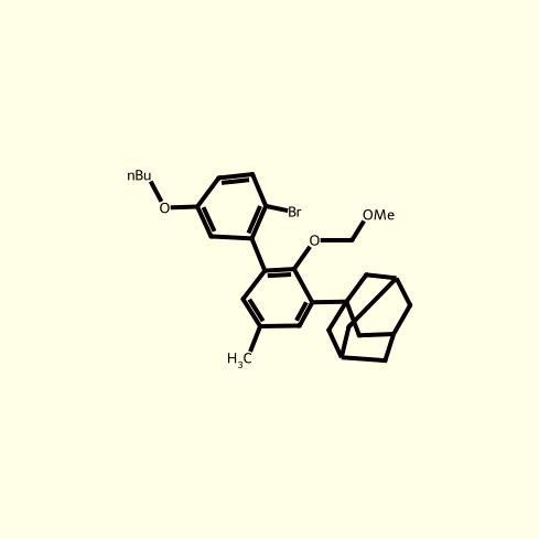 CCCCOc1ccc(Br)c(-c2cc(C)cc(C34CC5CC(CC(C5)C3)C4)c2OCOC)c1